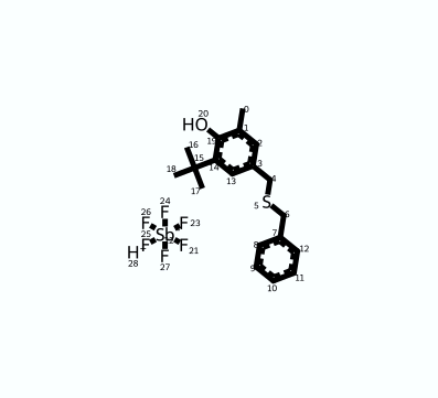 Cc1cc(CSCc2ccccc2)cc(C(C)(C)C)c1O.[F][Sb-]([F])([F])([F])([F])[F].[H+]